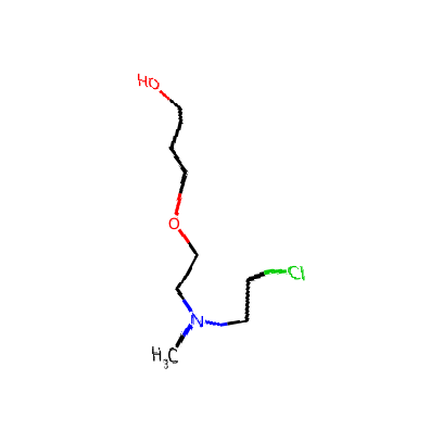 CN(CCCl)CCOCCCO